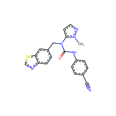 Cn1nccc1N(Cc1ccc2ncsc2c1)C(=O)Nc1ccc(C#N)cc1